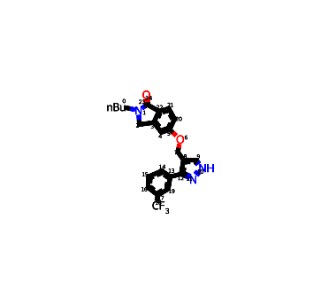 CCCCN1Cc2cc(OCc3c[nH]nc3-c3cccc(C(F)(F)F)c3)ccc2C1=O